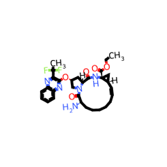 CCOC(=O)[C@@]12C[C@H]1/C=C\CCCCC[C@H](N)C(=O)N1C[C@H](Oc3nc4ccccc4nc3C(C)(F)F)C[C@H]1C(=O)N2